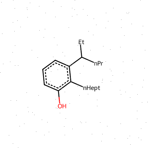 CCCCCCCc1c(O)cccc1C(CC)CCC